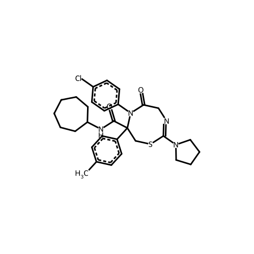 Cc1ccc(C2(C(=O)NC3CCCCCC3)CS/C(N3CCCC3)=N\CC(=O)N2c2ccc(Cl)cc2)cc1